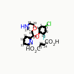 Fc1cc(Cl)ccc1O[C@@H](c1ccccn1)[C@@H]1CNCCO1.O=C(O)C=CC(=O)O